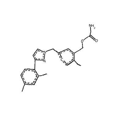 Cc1ccc(-c2ccn(Cc3ccc(C)c(COC(N)=O)c3)n2)c(C)c1